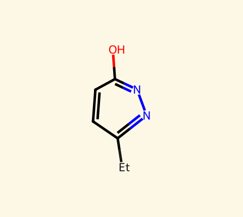 CCc1ccc(O)nn1